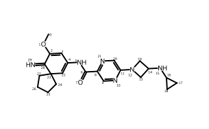 COC1=CC(NC(=O)c2cnc(N3CC(NC4CC4)C3)cn2)=CC2(CCCC2)C1=N